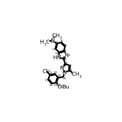 Cc1cc(-c2nc3ccc(N(C)C)cc3[nH]2)nn1Cc1cc(Cl)ccc1OCC(C)C